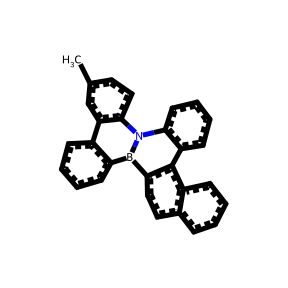 Cc1ccc2c(c1)-c1ccccc1B1c3ccc4ccccc4c3-c3ccccc3N12